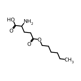 CCCCCCOC(=O)CCC(N)C(=O)O